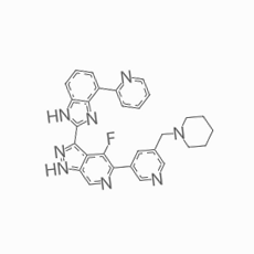 Fc1c(-c2cncc(CN3CCCCC3)c2)ncc2[nH]nc(-c3nc4c(-c5ccccn5)cccc4[nH]3)c12